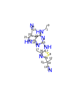 CCNc1nc(Nc2sc(C(C)(C)C#N)nc2C)nc2[nH]cc(C#N)c12